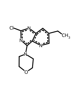 CCc1cnc2c(N3CCOCC3)nc(Cl)nc2c1